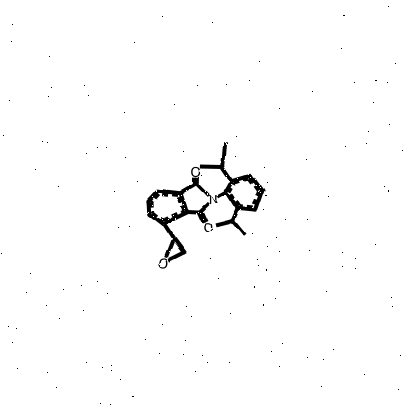 CC(C)c1cccc(C(C)C)c1N1C(=O)c2cccc(C3CO3)c2C1=O